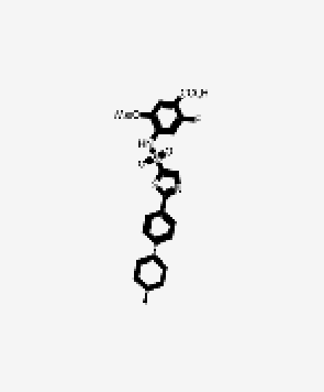 COc1cc(C(=O)O)c(F)cc1NS(=O)(=O)c1cnc(-c2ccc([C@H]3CC[C@H](C)CC3)cc2)s1